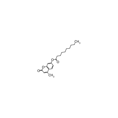 CCCCCCCCCC(=O)Oc1ccc2c(C)cc(=O)oc2c1